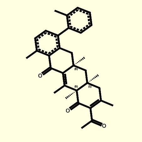 CC(=O)C1=C(C)C[C@]2(C)C[C@]3(C)Cc4c(-c5ccccc5C)ccc(C)c4C(=O)C3=C(C)[C@]2(C)C1=O